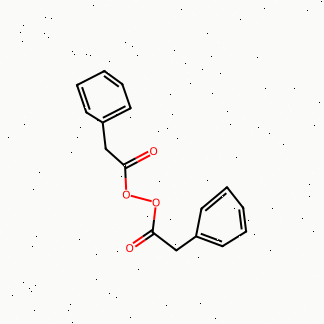 O=C(Cc1ccccc1)OOC(=O)Cc1ccccc1